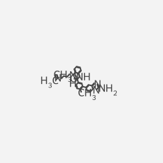 Cc1ccc(C(=O)Nc2ccccc2NCCCCN(C)C)cc1-c1ccc2nc(N)ncc2c1